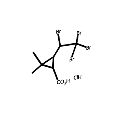 CC1(C)C(C(=O)O)C1C(Br)C(Br)(Br)Br.Cl